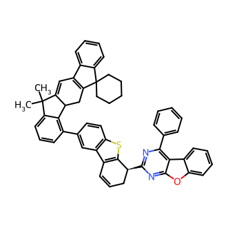 CC1(C)C2=CC3=C(CC2c2c(-c4ccc5sc6c(c5c4)C=CC[C@@H]6c4nc(-c5ccccc5)c5c(n4)oc4ccccc45)cccc21)C1(CCCCC1)c1ccccc13